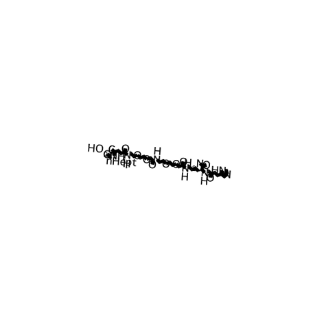 CCCCCCCC(=O)NC(CCC(=O)NCCOCCOCC(=O)NCCOCCOCC(=O)NCCCC[C@H](NCC(=O)CCc1cnc[nH]1)C(N)=O)C(=O)O